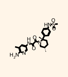 Cc1cc(NC(=O)C(=O)N2C[C@@H](C)CC[C@@]2(C)c2ccc(NS(C)(=O)=O)cc2)cnc1N